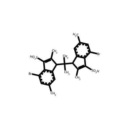 CC1=C(S(=O)(=O)O)c2c(Br)cc(C)cc2C1C(C)(C)C1C(C)=C(S(=O)(=O)O)c2c(Br)cc(C)cc21